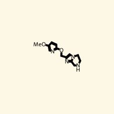 COc1ccc(OCc2cn3c(n2)CNCC3)nc1